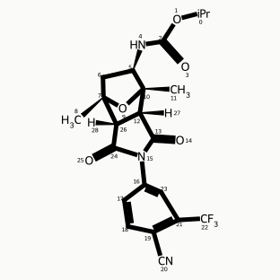 CC(C)OC(=O)N[C@@H]1C[C@]2(C)O[C@@]1(C)[C@@H]1C(=O)N(c3ccc(C#N)c(C(F)(F)F)c3)C(=O)[C@@H]12